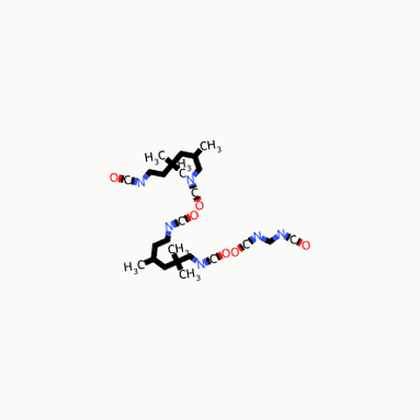 CC(CCN=C=O)CC(C)(C)CN=C=O.CC(CN=C=O)CC(C)(C)CCN=C=O.O=C=NCN=C=O